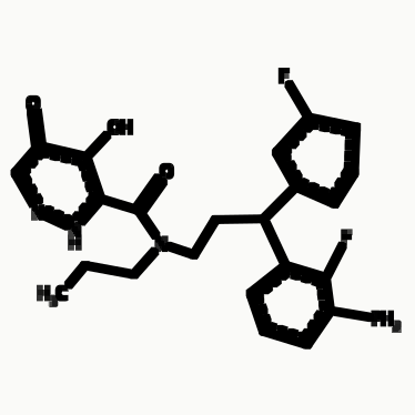 CCCN(CCC(c1cccc(F)c1)c1cccc(P)c1F)C(=O)c1[nH]ncc(=O)c1O